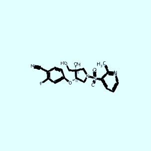 Cc1ncccc1S(=O)(=O)N1C[C@H](Oc2ccc(C#N)c(F)c2)[C@@](O)(CO)C1